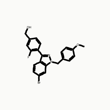 COc1ccc(Cn2nc(-c3ccc(CO)cc3F)c3ccc(Br)cc32)cc1